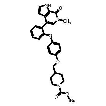 Cn1cc(-c2ccccc2Oc2ccc(OCC3CCN(C(=O)OC(C)(C)C)CC3)cc2)c2cc[nH]c2c1=O